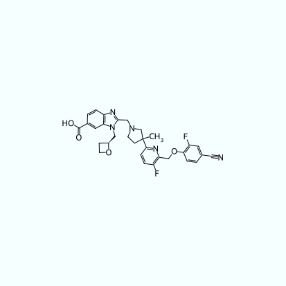 CC1(c2ccc(F)c(COc3ccc(C#N)cc3F)n2)CCN(Cc2nc3ccc(C(=O)O)cc3n2C[C@@H]2CCO2)C1